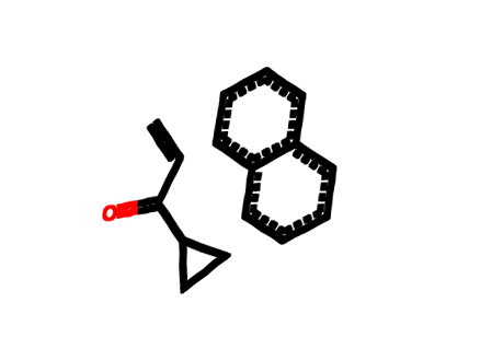 C=CC(=O)C1CC1.c1ccc2ccccc2c1